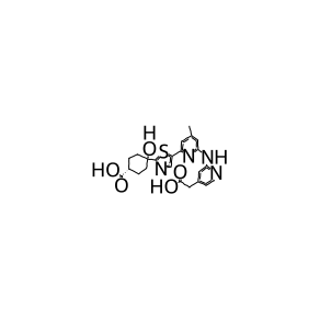 Cc1cc(Nc2cc(CC(=O)O)ccn2)nc(-c2cnc([C@]3(O)CC[C@H](C(=O)O)CC3)s2)c1